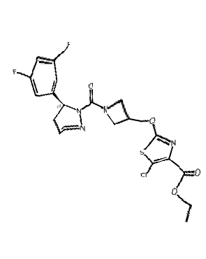 CCOC(=O)c1nc(OC2CN(C(=O)N3N=CC[C@H]3c3cc(F)cc(F)c3)C2)sc1Cl